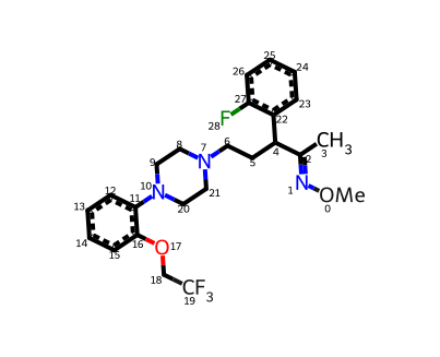 CON=C(C)C(CCN1CCN(c2ccccc2OCC(F)(F)F)CC1)c1ccccc1F